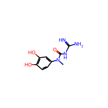 CN(C(=O)NC(=N)N)c1ccc(O)c(O)c1